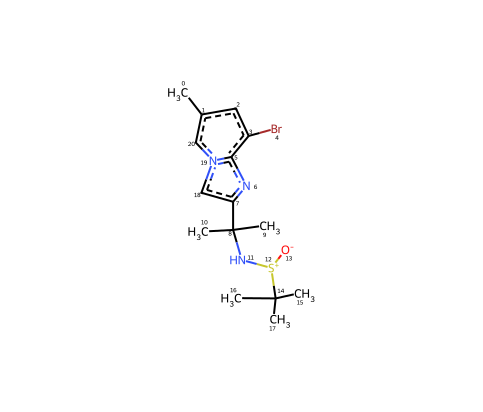 Cc1cc(Br)c2nc(C(C)(C)N[S+]([O-])C(C)(C)C)cn2c1